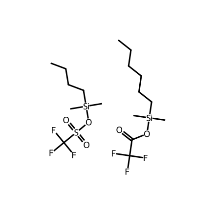 CCCCCC[Si](C)(C)OC(=O)C(F)(F)F.CCCC[Si](C)(C)OS(=O)(=O)C(F)(F)F